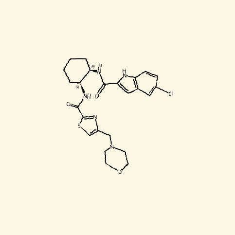 O=C(N[C@@H]1CCCC[C@@H]1NC(=O)c1nc(CN2CCOCC2)cs1)c1cc2cc(Cl)ccc2[nH]1